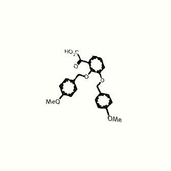 COc1ccc(COc2cccc(C(=O)C(=O)O)c2OCc2ccc(OC)cc2)cc1